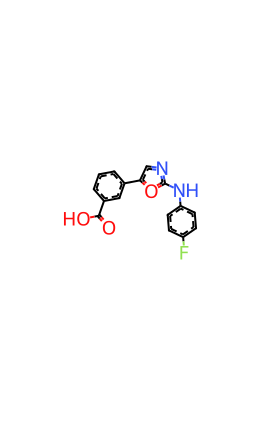 O=C(O)c1cccc(-c2cnc(Nc3ccc(F)cc3)o2)c1